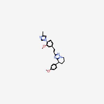 COc1ccc(C2CCCn3nc(C=Cc4ccc(-n5cnc(C)c5)c(OC)c4)nc32)cc1